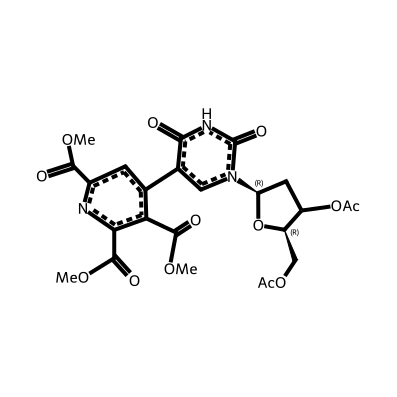 COC(=O)c1cc(-c2cn([C@H]3CC(OC(C)=O)[C@@H](COC(C)=O)O3)c(=O)[nH]c2=O)c(C(=O)OC)c(C(=O)OC)n1